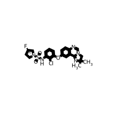 CC1(C)CN2C=Nc3ccc(Oc4cccc(NS(=O)(=O)N5CC[C@@H](F)C5)c4Cl)cc3C2=N1